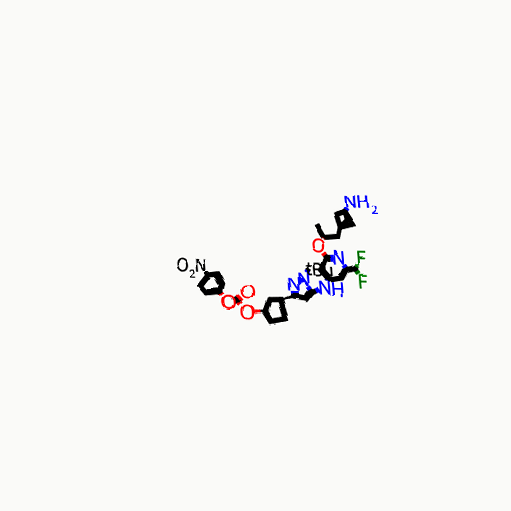 CC(CC12CC(N)(C1)C2)Oc1cc(Nc2cc([C@H]3CC[C@@H](OC(=O)Oc4ccc([N+](=O)[O-])cc4)C3)nn2C(C)(C)C)cc(C(F)F)n1